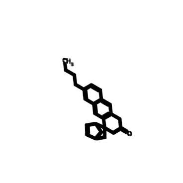 CCCCc1ccc2cc3c(cc2c1)C1(CC(=O)C3)CC2C=CC1C2